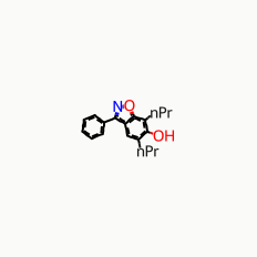 CCCc1cc2c(-c3ccccc3)noc2c(CCC)c1O